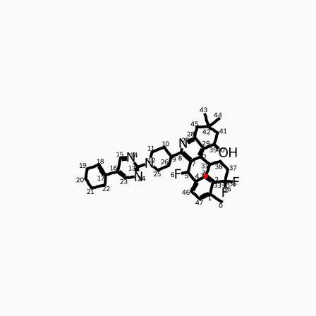 Cc1ccc(C(F)c2c(C3CCN(c4ncc(C5=CCCCC5)cn4)CC3)nc3c(c2C2CCC(F)(F)CC2)C(O)CC(C)(C)C3)cc1